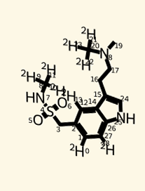 [2H]c1c(CS(=O)(=O)NC([2H])([2H])[2H])c([2H])c2c(CCN(C)C([2H])([2H])[2H])c[nH]c2c1[2H]